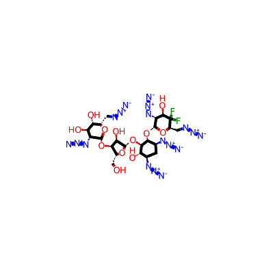 [N-]=[N+]=NC[C@@H]1O[C@H](O[C@H]2[C@@H](O)[C@H](O[C@@H]3[C@@H](O)[C@H](N=[N+]=[N-])C[C@H](N=[N+]=[N-])[C@H]3O[C@H]3O[C@H](CN=[N+]=[N-])C(F)(F)[C@H](O)[C@H]3N=[N+]=[N-])O[C@@H]2CO)[C@H](N=[N+]=[N-])[C@@H](O)[C@@H]1O